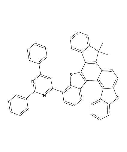 CC1(C)c2ccccc2-c2c1c1ccc3sc4ccccc4c3c1c1c2sc2c(-c3cc(-c4ccccc4)nc(-c4ccccc4)n3)cccc21